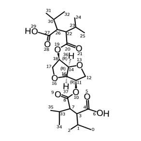 CC(C)C(C(=O)O)C(C(=O)O[C@@H]1CO[C@H]2[C@@H]1OC[C@H]2OC(=O)C(C(C)C)C(C(=O)O)C(C)C)C(C)C